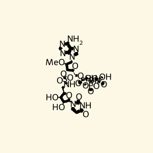 CO[C@@H]1[C@H](OS(=O)(=O)NC[C@H]2O[C@@H](n3ccc(=O)[nH]c3=O)[C@H](O)[C@@H]2O)[C@@H](COP(=O)(O)OP(=O)(O)OP(=O)(O)O)O[C@H]1n1cnc2c(N)ncnc21